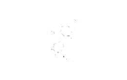 CCSc1ccc(-c2cccc(N)c2)c(N)c1